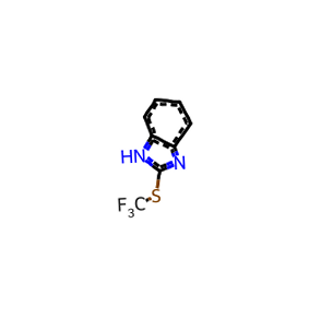 FC(F)(F)Sc1nc2ccccc2[nH]1